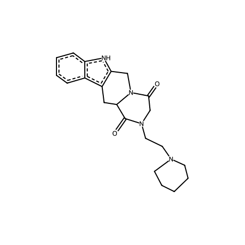 O=C1C2Cc3c([nH]c4ccccc34)CN2C(=O)CN1CCN1CCCCC1